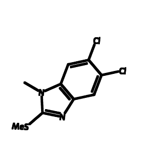 CSc1nc2cc(Cl)c(Cl)cc2n1C